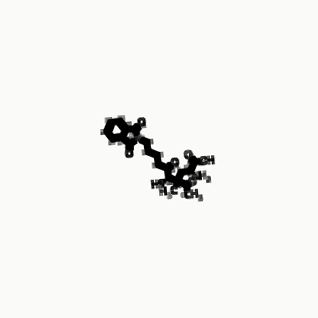 CC(=O)C(C)(C[C@H](N)C(=O)O)[C@H](S)C(=O)CCCCN1C(=O)c2ccccc2C1=O